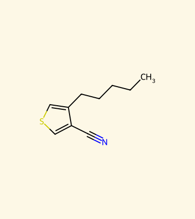 CCCCCc1cscc1C#N